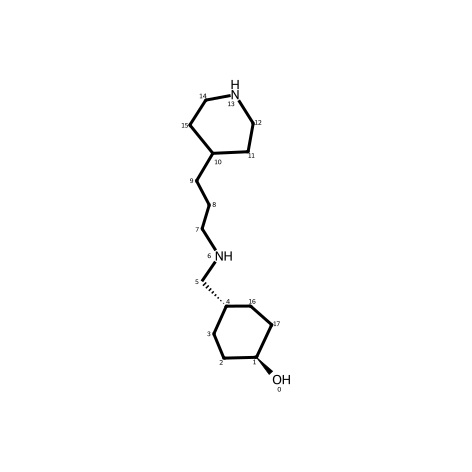 O[C@H]1CC[C@H](CNCCCC2CCNCC2)CC1